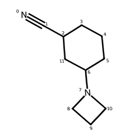 N#CC1CCCC(N2CCC2)C1